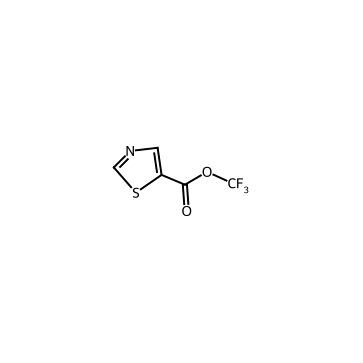 O=C(OC(F)(F)F)c1cncs1